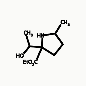 CCOC(=O)C1(C(C)O)CCC(C)N1